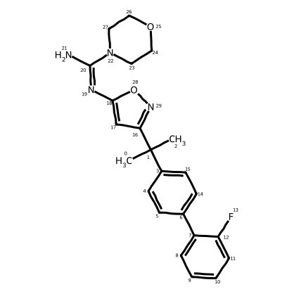 CC(C)(c1ccc(-c2ccccc2F)cc1)c1cc(/N=C(/N)N2CCOCC2)on1